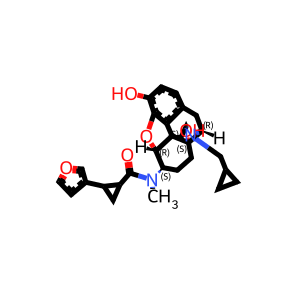 CN(C(=O)C1CC1c1ccoc1)[C@H]1CC[C@@]2(O)[C@H]3Cc4ccc(O)c5c4[C@@]2(CCN3CC2CC2)[C@H]1O5